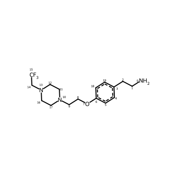 NCCc1ccc(OCCN2CCN(CC(F)(F)F)CC2)cc1